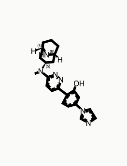 CN(c1ccc(-c2ccc(-n3ccnc3)cc2O)nn1)[C@@H]1C[C@H]2CCC[C@@H](C1)N2